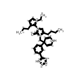 CCCCc1cn(-c2c(CCC)ccn2CC)c(=O)n1CC1(c2cccc(-c3nnn[nH]3)c2)C=CNC=C1